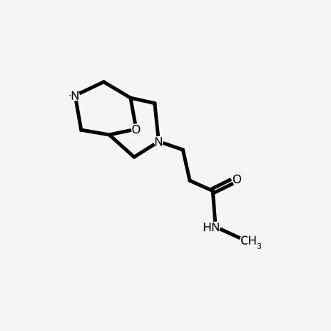 CNC(=O)CCN1CC2C[N]CC(C1)O2